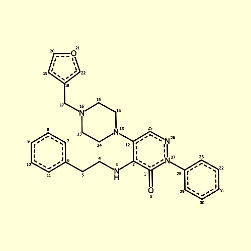 O=c1c(NCCc2ccccc2)c(N2CCN(Cc3ccoc3)CC2)cnn1-c1ccccc1